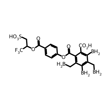 BCc1c(B)c(CB)c(C(=O)Oc2ccc(C(=O)OC(CS(=O)(=O)O)C(F)(F)F)cc2)c(C(=O)O)c1B